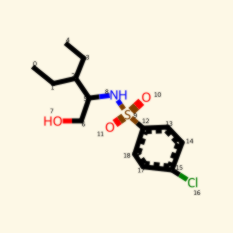 CCC(CC)C(CO)NS(=O)(=O)c1ccc(Cl)cc1